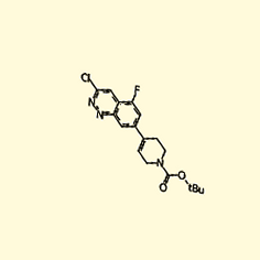 CC(C)(C)OC(=O)N1CC=C(c2cc(F)c3cc(Cl)nnc3c2)CC1